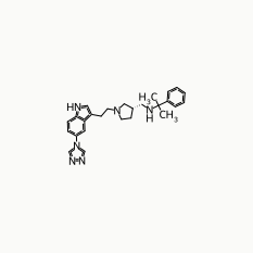 CC(C)(NC[C@@H]1CCN(CCc2c[nH]c3ccc(-n4cnnc4)cc23)C1)c1ccccc1